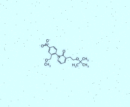 COCc1cc([N+](=O)[O-])ccc1-n1cccc(CCOC(C)(C)C)c1=O